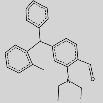 CCN(CC)c1cc(C(c2ccccc2)c2ccccc2C)ccc1C=O